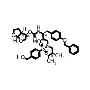 CC[C@H](C)CN(C[C@@H](O)[C@H](Cc1ccc(OCc2ccccc2)cc1)NC(=O)O[C@H]1CO[C@H]2OCC[C@H]21)S(=O)(=O)c1ccc(CO)cc1